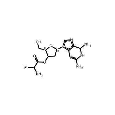 CC(C)C(N)C(=O)OC1C[C@H](n2cnc3c2N=C(N)NC3N)O[C@@H]1CO